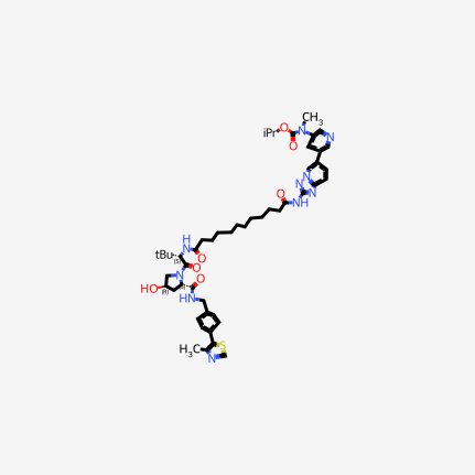 Cc1ncsc1-c1ccc(CNC(=O)[C@@H]2C[C@@H](O)CN2C(=O)[C@@H](NC(=O)CCCCCCCCCCC(=O)Nc2nc3ccc(-c4cncc(N(C)C(=O)OC(C)C)c4)cn3n2)C(C)(C)C)cc1